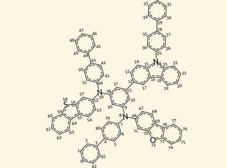 c1ccc(-c2ccc(N(c3cc(-c4ccc5c(c4)c4ccccc4n5-c4ccc(-c5ccccc5)cc4)cc(N(c4ccc(-c5ccccc5)cc4)c4ccc5c(c4)sc4ccccc45)c3)c3ccc4c(c3)oc3ccccc34)cc2)cc1